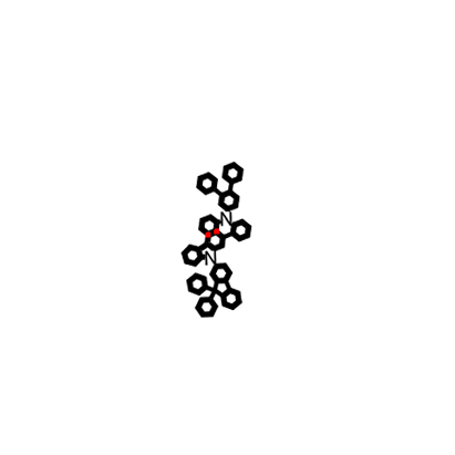 c1ccc(-c2ccc(N(c3ccccc3)c3ccccc3-c3ccc4c5ccccc5n(-c5ccc6c(c5)C(c5ccccc5)(c5ccccc5)c5ccccc5-6)c4c3)cc2-c2ccccc2)cc1